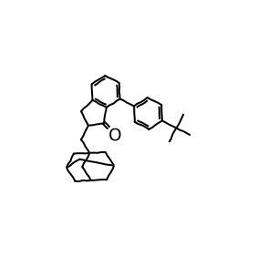 CC(C)(C)c1ccc(-c2cccc3c2C(=O)C(CC24CC5CC(CC(C5)C2)C4)C3)cc1